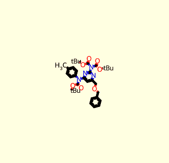 Cc1ccc(N(C(=O)OC(C)(C)C)c2cc(COCc3ccccc3)nc(N(C(=O)OC(C)(C)C)C(=O)OC(C)(C)C)n2)cc1